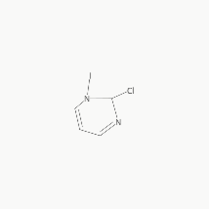 ClC1N=CC=CN1I